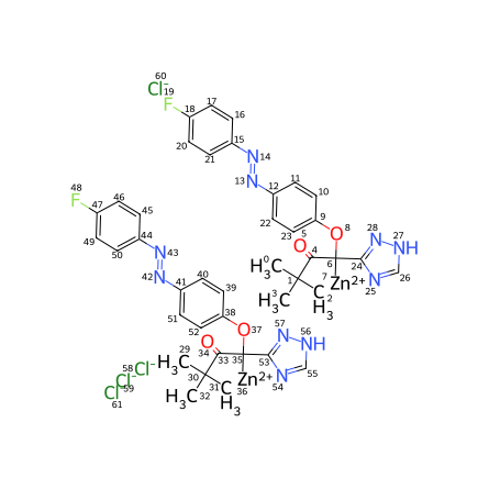 CC(C)(C)C(=O)[C]([Zn+2])(Oc1ccc(N=Nc2ccc(F)cc2)cc1)c1nc[nH]n1.CC(C)(C)C(=O)[C]([Zn+2])(Oc1ccc(N=Nc2ccc(F)cc2)cc1)c1nc[nH]n1.[Cl-].[Cl-].[Cl-].[Cl-]